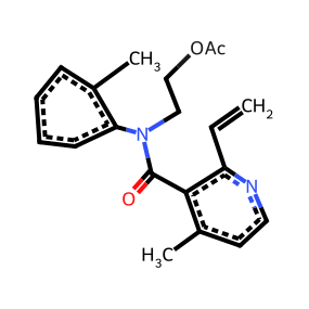 C=Cc1nccc(C)c1C(=O)N(CCOC(C)=O)c1ccccc1C